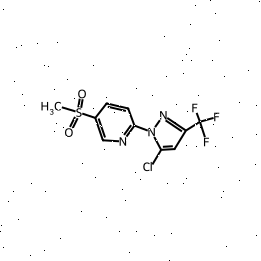 CS(=O)(=O)c1ccc(-n2nc(C(F)(F)F)cc2Cl)nc1